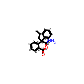 CCCC1(c2ccccc2)c2ccccc2C(=O)OC1N